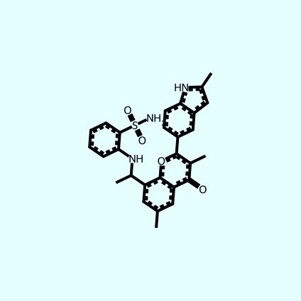 Cc1cc(C(C)Nc2ccccc2S(N)(=O)=O)c2oc(-c3ccc4[nH]c(C)cc4c3)c(C)c(=O)c2c1